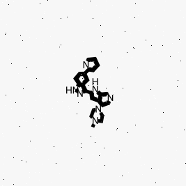 CN1CCN(c2cncc3[nH]c(-c4n[nH]c5ccc(-c6ccccn6)cc45)cc23)CC1